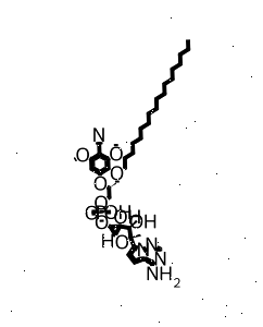 CCCCCCCCCCCCCCCCCCOC[C@H](COP(=O)(O)OC1[C@H]2O[C@@](C)(c3ccc4c(N)ncnn34)[C@H](O)[C@@]12O)Oc1cc(OC)c(C#N)c(OC)c1